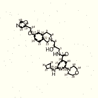 O=C(NCC(O)CN1CCc2cc(OCc3cnco3)ccc2C1)c1cc(NC2CCC2)nc(N2CCOCC2)c1